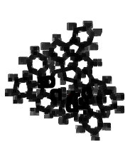 [Cl][Zr]([Cl])[CH](CCC(CO[Si](c1ccccc1)(c1ccccc1)c1ccccc1)(c1cccc2c1Cc1ccccc1-2)c1cccc2c1Cc1ccccc1-2)O[Si](c1ccccc1)(c1ccccc1)c1ccccc1